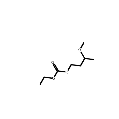 CCOC(=O)OCCC(C)OC